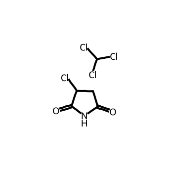 ClC(Cl)Cl.O=C1CC(Cl)C(=O)N1